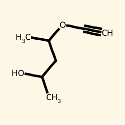 C#COC(C)CC(C)O